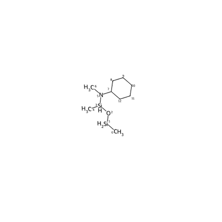 C[SiH2]O[SiH](C)N(C)C1CCCCC1